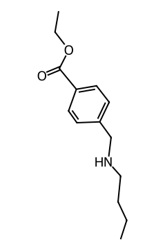 CCCCNCc1ccc(C(=O)OCC)cc1